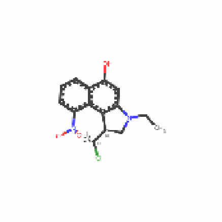 CCN1C[C@@H]([C@@H](C)Cl)c2c1cc(O)c1cccc([N+](=O)[O-])c21